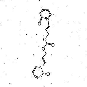 O=C(OCC=Cn1ccccc1=O)OCC=Cn1ccccc1=O